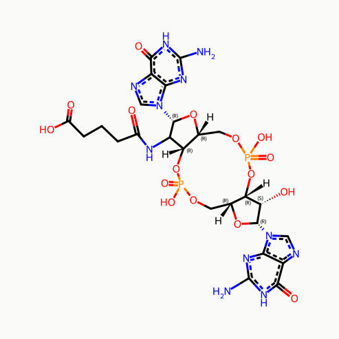 Nc1nc2c(ncn2[C@@H]2O[C@@H]3COP(=O)(O)O[C@@H]4[C@H](O)[C@H](n5cnc6c(=O)[nH]c(N)nc65)O[C@@H]4COP(=O)(O)O[C@@H]3C2NC(=O)CCCC(=O)O)c(=O)[nH]1